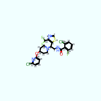 O=C(NCC(c1scnc1C(F)F)N1CCC(Oc2cccc(Cl)n2)CC1)c1c(F)cccc1Cl